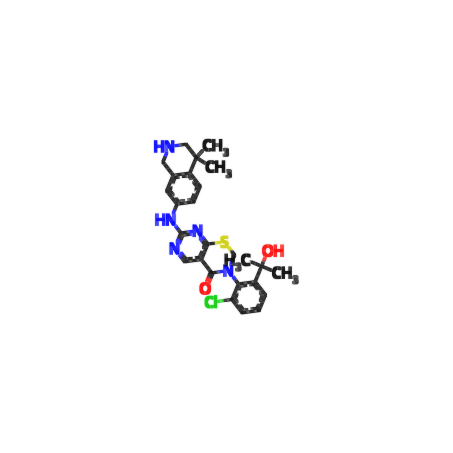 CC(C)(O)c1cccc(Cl)c1N1CSc2nc(Nc3ccc4c(c3)CNCC4(C)C)ncc2C1=O